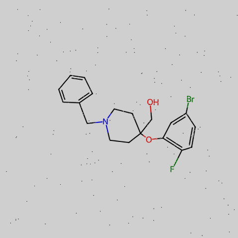 OCC1(Oc2cc(Br)ccc2F)CCN(Cc2ccccc2)CC1